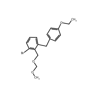 CCOc1ccc(Cc2cccc(Br)c2COCOC)cc1